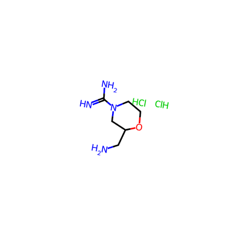 Cl.Cl.N=C(N)N1CCOC(CN)C1